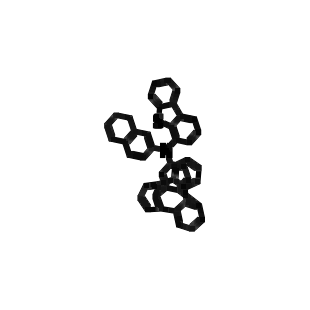 C1=Cc2ccc(N(c3ccc4c(c3)-c3c5cccc3-c3cccc-4c3-c3ccccc3-5)c3cccc4c3sc3ccccc34)cc2CC1